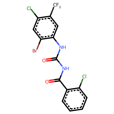 O=C(NC(=O)c1ccccc1Cl)Nc1cc(C(F)(F)F)c(Cl)cc1Br